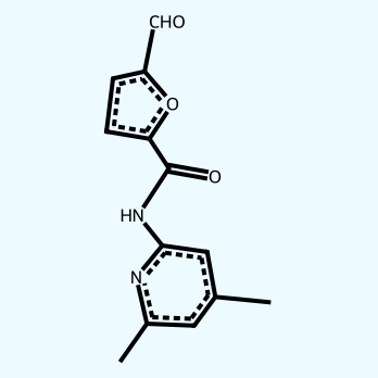 Cc1cc(C)nc(NC(=O)c2ccc(C=O)o2)c1